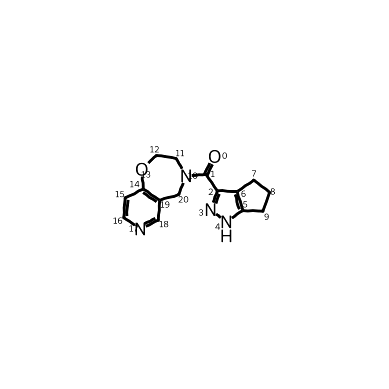 O=C(c1n[nH]c2c1CCC2)N1CCOc2ccncc2C1